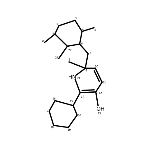 CC1CCC(C)C(CC2(C)C=CC(O)=C(C3CCCCC3)N2)C1C